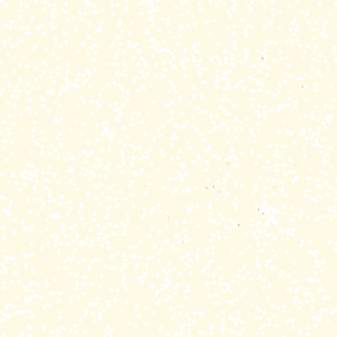 CC1CC(OC(=O)c2ccccc2O)CC(C)(C)C1.O=S(=O)(O)c1ccc2[nH]c(-c3ccccc3)nc2c1